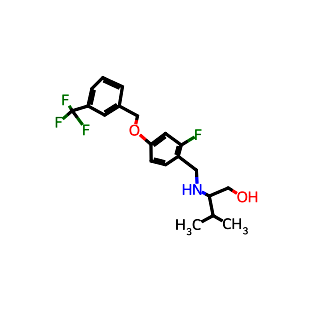 CC(C)C(CO)NCc1ccc(OCc2cccc(C(F)(F)F)c2)cc1F